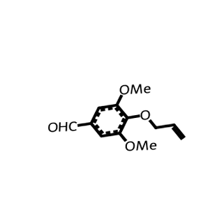 C=CCOc1c(OC)cc(C=O)cc1OC